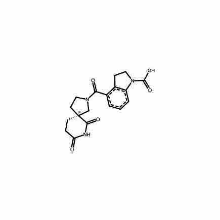 O=C1CC[C@@]2(CCN(C(=O)c3cccc4c3CCN4C(=O)O)C2)C(=O)N1